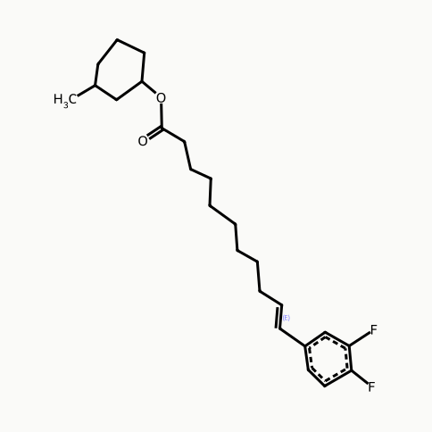 CC1CCCC(OC(=O)CCCCCCCC/C=C/c2ccc(F)c(F)c2)C1